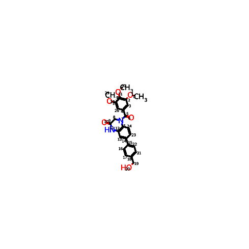 COc1cc(C(=O)N2CC(=O)Nc3cc(-c4ccc(CO)cc4)ccc32)cc(OC)c1OC